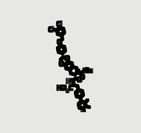 Cc1nccc(-c2ccc(CC(NC(=O)[C@@H]3Cc4cc5c(cc4CN3C(=O)C(C)(C)C)O[C@@H](c3ccc(OCc4ccc(Cl)c(Cl)c4)cc3)CO5)C(=O)O)cc2)c1C